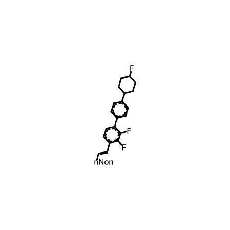 CCCCCCCCCC=Cc1ccc(-c2ccc(C3CCC(F)CC3)cc2)c(F)c1F